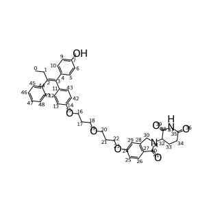 CC/C(=C(\c1ccc(O)cc1)c1ccc(OCCCOCCCOc2ccc3c(c2)CN(C2CCC(=O)NC2=O)C3=O)cc1)c1ccccc1